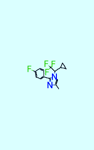 Cc1cn(C(C2CC2)C(F)(F)F)c(-c2ccc(F)cc2)n1